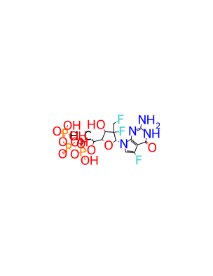 C[C@H](OP(=O)(O)OP(=O)(O)OP(=O)(O)O)[C@H]1O[C@@H](n2cc(F)c3c(=O)[nH]c(N)nc32)[C@@](F)(CF)C1O